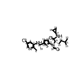 Cc1ncc(Cl)cc1N[C@@H](C)c1ccc(N(C=O)[C@@H](CCC(C)C)C(=O)NC2CC2)s1